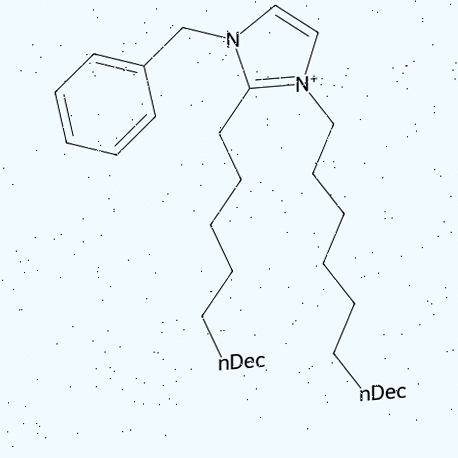 CCCCCCCCCCCCCCCC[n+]1ccn(Cc2ccccc2)c1CCCCCCCCCCCCCCC